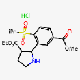 CCOC(=O)C1CCNC1c1cc(C(=O)OC)ccc1S(=O)(=O)C(C)C.Cl